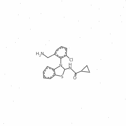 NCc1cccc(Cl)c1N1c2ccccc2SC1NC(=O)C1CC1